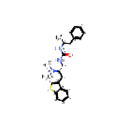 C[C@@H](Cc1ccccc1)NC(=O)NC[C@H](Cc1csc2ccccc12)N(C)C